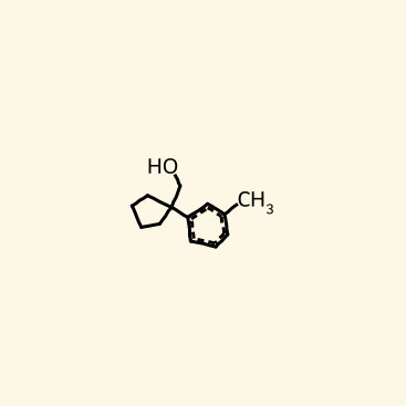 Cc1cccc(C2(CO)CCCC2)c1